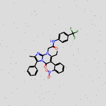 CCc1c(-c2ccccc2[N+](=O)[O-])c(=O)n2c(-c3ccccc3)c(C)nc2n1CC(=O)Nc1ccc(C(F)(F)F)cc1